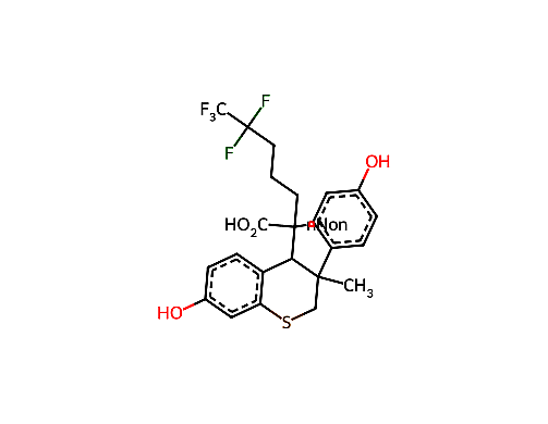 CCCCCCCCCC(CCCC(F)(F)C(F)(F)F)(C(=O)O)C1c2ccc(O)cc2SCC1(C)c1ccc(O)cc1